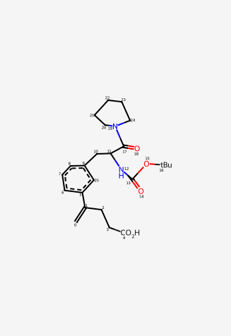 C=C(CCC(=O)O)c1cccc(CC(NC(=O)OC(C)(C)C)C(=O)N2CCCCC2)c1